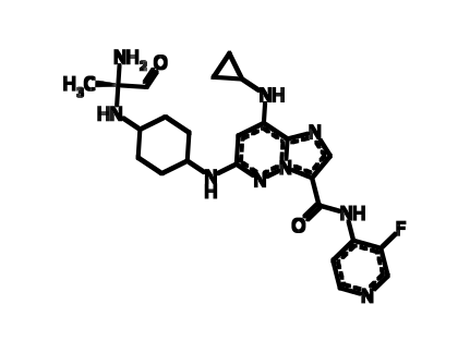 C[C@@](N)(C=O)NC1CCC(Nc2cc(NC3CC3)c3ncc(C(=O)Nc4ccncc4F)n3n2)CC1